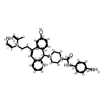 C=C(C)N(/C=C\N)CCC1=Cc2cccnc2C(N2CCN(C(=O)Nc3ccc(N)cc3)CC2)c2ccc(Cl)cc21